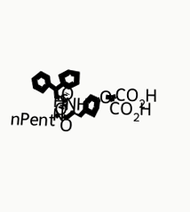 CCCCCNC(=O)[C@H](Cc1ccc(OC(C(=O)O)C(=O)O)cc1)NS(=O)(=O)CC(c1ccccc1)c1ccccc1